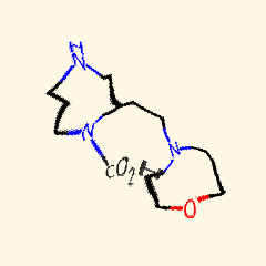 O=C(O)N1CCNCC1CN1CCOCC1